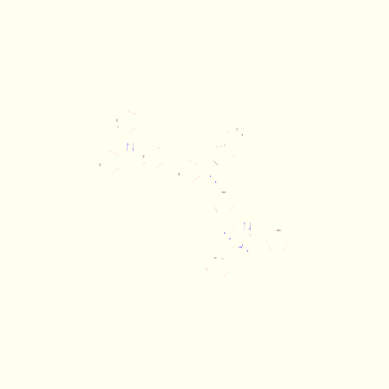 N#Cc1ccc2c(c1)c1cc(-c3ccc(N(c4ccccc4)c4ccccc4)cc3)ccc1n2-c1ccc(-c2nc(-c3ccccc3)nc(-c3ccccc3)n2)cc1